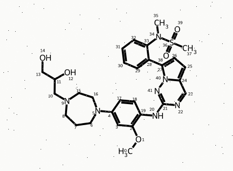 COc1cc(N2CCCN(CC(O)CO)CC2)ccc1Nc1ncc2ccc(-c3ccccc3N(C)S(C)(=O)=O)n2n1